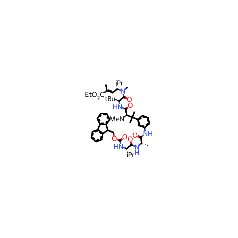 CCOC(=O)/C(C)=C/[C@H](C(C)C)N(C)C(=O)[C@@H](NC(=O)[C@H](NC)C(C)(C)c1cccc(NC(=O)[C@H](C)NC(=O)[C@@H](NC(=O)OCC2c3ccccc3-c3ccccc32)C(C)C)c1)C(C)(C)C